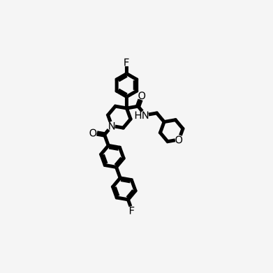 O=C(c1ccc(-c2ccc(F)cc2)cc1)N1CCC(C(=O)NCC2CCOCC2)(c2ccc(F)cc2)CC1